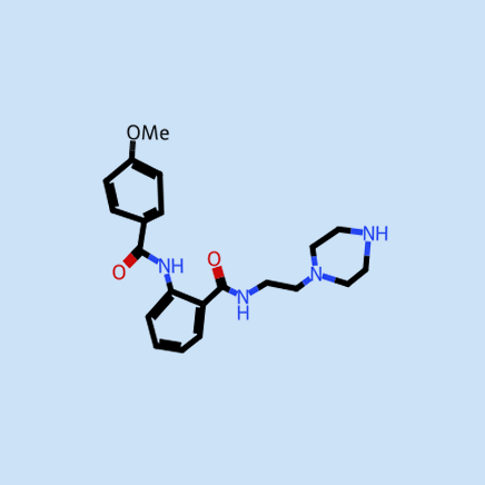 COc1ccc(C(=O)Nc2ccccc2C(=O)NCCN2CCNCC2)cc1